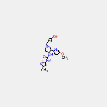 COc1ccc(C2CN(CC3CC(O)C3)CCC2NC(=O)Nc2cc(C)ns2)nc1